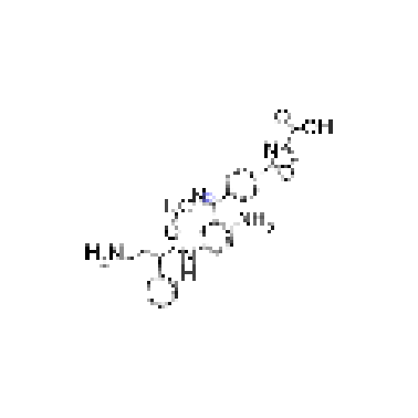 C/N=C(/c1ccc(-c2nc(C(=O)O)co2)cc1)c1cc(NC(=O)C(CCN)c2ccccc2)ccc1N